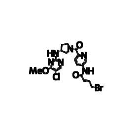 COc1nc(N[C@@H]2CCN(C(=O)c3ccc(NC(=O)/C=C/CBr)cn3)C2)ncc1Cl